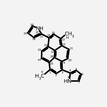 Cc1cc(-c2ccc[nH]2)c2ccc3c(C)cc(-c4ccc[nH]4)c4ccc1c2c34